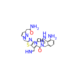 Cn1c(C(=O)NCc2cccc(N)c2C=N)c(C=N)c2sc(Cn3ccc(CC(N)=O)n3)nc21